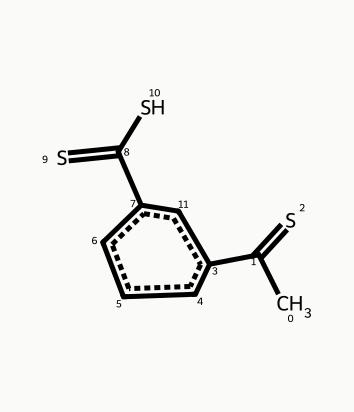 CC(=S)c1cccc(C(=S)S)c1